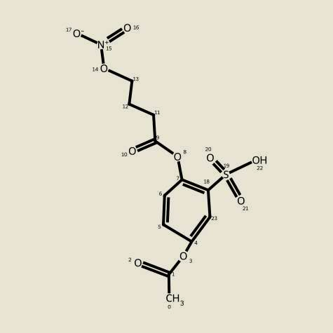 CC(=O)Oc1ccc(OC(=O)CCCO[N+](=O)[O-])c(S(=O)(=O)O)c1